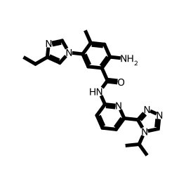 CCc1cn(-c2cc(C(=O)Nc3cccc(-c4nncn4C(C)C)n3)c(N)cc2C)cn1